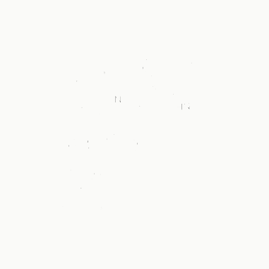 CN[C@@H](C)C(=O)CN1CCC[C@H]1C(=O)C(=O)OC(C)(C)C